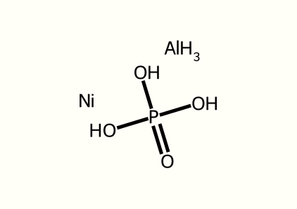 O=P(O)(O)O.[AlH3].[Ni]